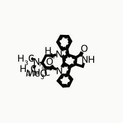 CO[C@@H]1[C@H](N(C)C)C[C@H]2O[C@]1(C)n1c3ccccc3c3c4c(c5c6ccccc6n2c5c31)C(=O)NC4